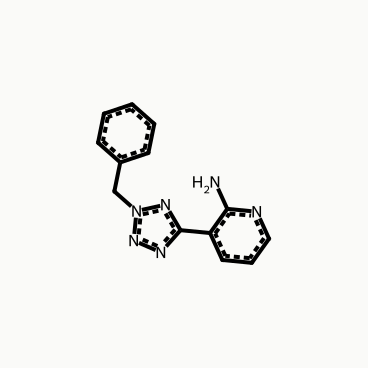 Nc1ncccc1-c1nnn(Cc2ccccc2)n1